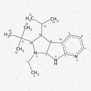 CCN1C2Nc3ncccc3C2C(C(C)C)C1C(C)(C)C